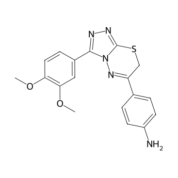 COc1ccc(-c2nnc3n2N=C(c2ccc(N)cc2)CS3)cc1OC